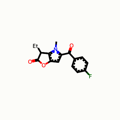 CCC1C(=O)Oc2cc(C(=O)c3ccc(F)cc3)n(C)c21